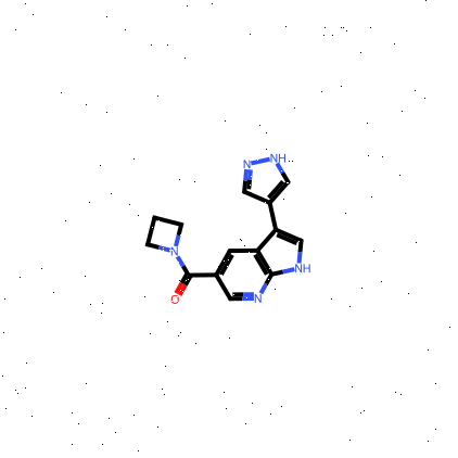 O=C(c1cnc2[nH]cc(-c3cn[nH]c3)c2c1)N1CCC1